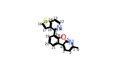 Cc1ccc2c(n1)oc1c(-c3nccc4sccc34)cccc12